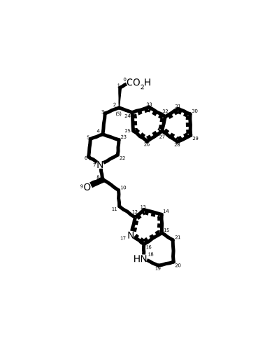 O=C(O)C[C@H](CC1CCN(C(=O)CCc2ccc3c(n2)NCCC3)CC1)c1ccc2ccccc2c1